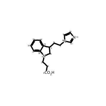 O=C(O)CCN1CC(CCn2ccnc2)c2ccccc21